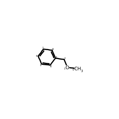 COCc1[c]cccc1